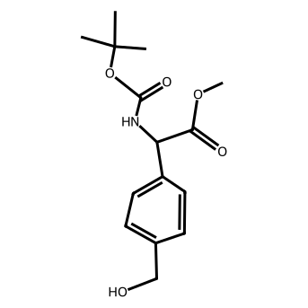 COC(=O)C(NC(=O)OC(C)(C)C)c1ccc(CO)cc1